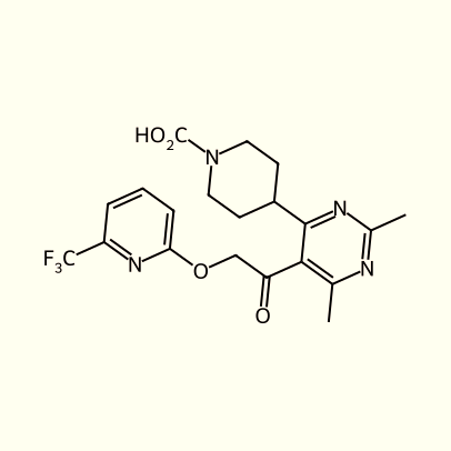 Cc1nc(C)c(C(=O)COc2cccc(C(F)(F)F)n2)c(C2CCN(C(=O)O)CC2)n1